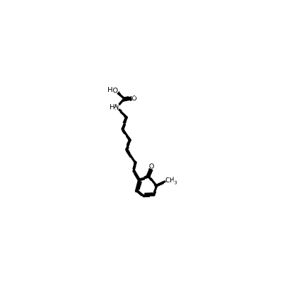 CC1C=CC=C(CCCCCCNC(=O)O)C1=O